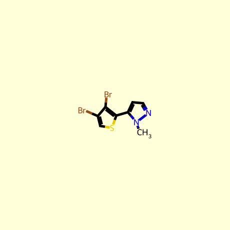 Cn1nccc1-c1scc(Br)c1Br